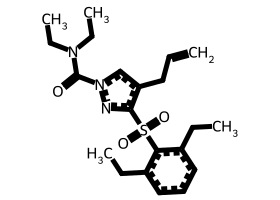 C=CCc1cn(C(=O)N(CC)CC)nc1S(=O)(=O)c1c(CC)cccc1CC